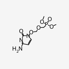 COP(=O)(COCOn1ccc(N)nc1=O)OC